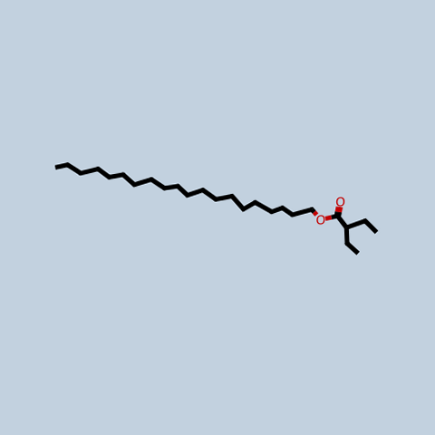 CCCCCCCCCCCCCCCCCCCCOC(=O)C(CC)CC